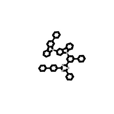 c1ccc(-c2ccc(-c3nc(-c4ccccc4)nc(-c4cc(-c5ccccc5)cc(-n5c6ccccc6c6cc(-n7c8ccccc8c8ccc(-c9ccccc9)cc87)ccc65)c4)n3)cc2)cc1